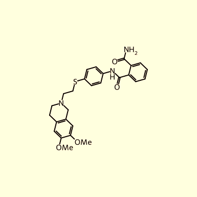 COc1cc2c(cc1OC)CN(CCSc1ccc(NC(=O)c3ccccc3C(N)=O)cc1)CC2